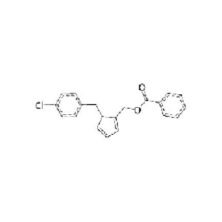 O=C(OCC1=CC=CC1Cc1ccc(Cl)cc1)c1ccccc1